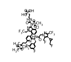 CC(C)(CCc1ccc(-c2ccc(Cl)c3c(N(C(=O)NCCP(=O)(O)O)S(C)(=O)=O)nn(CC(F)(F)F)c23)c([C@H](Cc2cc(F)cc(F)c2)NC(=O)Cn2nc(C(F)(F)F)c([C@H]3CC3CF)c2CF)n1)S(C)(=O)=O